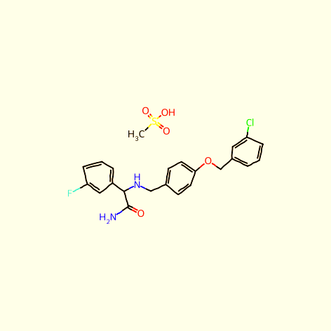 CS(=O)(=O)O.NC(=O)C(NCc1ccc(OCc2cccc(Cl)c2)cc1)c1cccc(F)c1